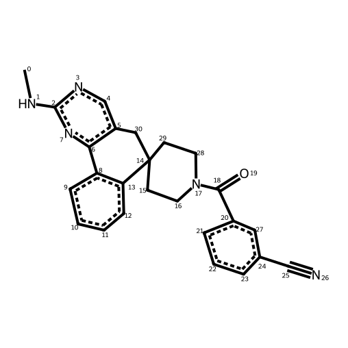 CNc1ncc2c(n1)-c1ccccc1C1(CCN(C(=O)c3cccc(C#N)c3)CC1)C2